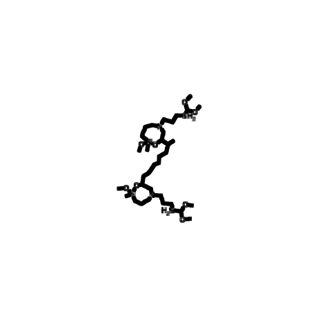 COC(OC)[SiH2]CCCN1CCC[Si](C)(OC)OC(CCCCCCC(C)C2CN(CCC[SiH2]C(OC)OC)CCC[Si](C)(OC)O2)C1